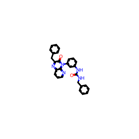 O=C(NCc1ccccc1)Nc1cccc(-n2c(=O)c(Cc3ccccc3)nc3cccnc32)c1